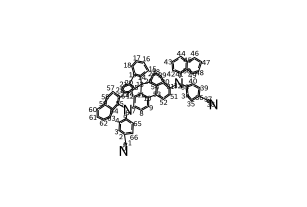 N#Cc1ccc(N(c2ccc3c(c2)C2(c4ccccc4-c4ccccc42)c2cccc4c(N(c5ccc(C#N)cc5)c5cccc6ccccc56)ccc-3c24)c2cccc3ccccc23)cc1